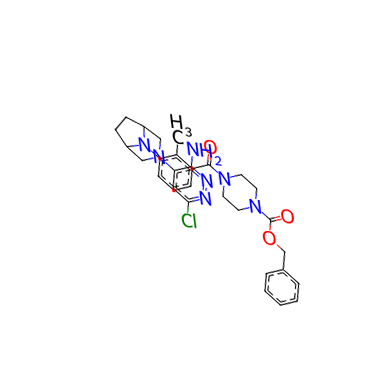 Cc1c(C(=O)N2CCN(C(=O)OCc3ccccc3)CC2)cccc1N1C2CCC1CN(c1cc(Cl)nnc1N)C2